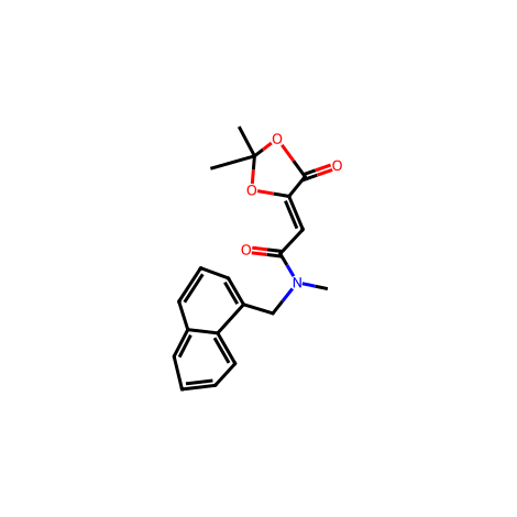 CN(Cc1cccc2ccccc12)C(=O)/C=C1\OC(C)(C)OC1=O